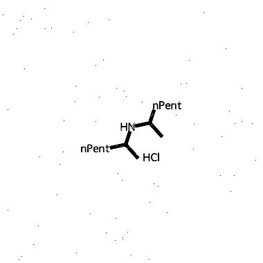 CCCCCC(C)NC(C)CCCCC.Cl